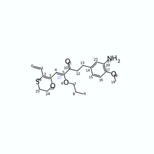 C=CC1=C(/C=C(\OCCC)C(=O)CCc2ccc(OC)c(N)c2)OCCS1